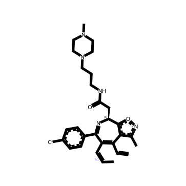 C=CC1=C(/C=C\C)C(c2ccc(Cl)cc2)=N[C@@H](CC(=O)NCCCN2CCN(C)CC2)c2onc(C)c21